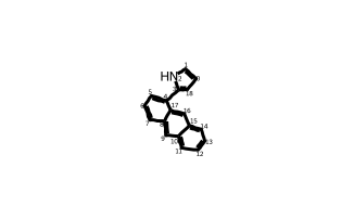 c1c[nH]c(-c2cccc3cc4ccccc4cc23)c1